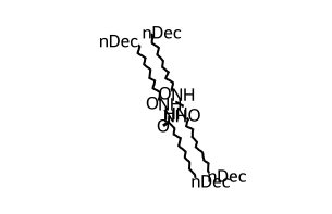 CCCCCCCCCCCCCCCCCCCC(=O)NCCNC(=O)CCCCCCCCCCCCCCCCCCC.CCCCCCCCCCCCCCCCCCCC(=O)NCNC(=O)CCCCCCCCCCCCCCCCCCC